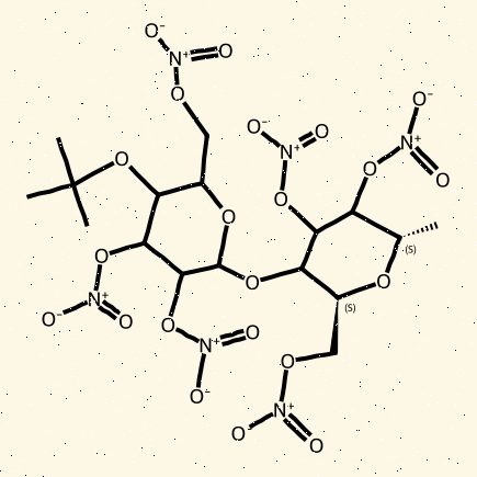 C[C@@H]1O[C@@H](CO[N+](=O)[O-])C(OC2OC(CO[N+](=O)[O-])C(OC(C)(C)C)C(O[N+](=O)[O-])C2O[N+](=O)[O-])C(O[N+](=O)[O-])C1O[N+](=O)[O-]